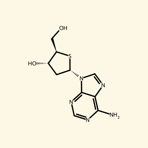 Nc1ncnc2c1ncn2[C@@H]1C[C@H](O)[C@@H](CO)S1